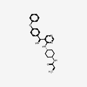 C=CC(=O)N[C@H]1CC[C@H](Nc2ncncc2C(=N)c2ccc(Oc3ccccc3)cc2)CC1